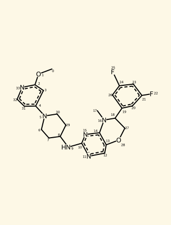 COc1cc(N2CCC(Nc3ncc4c(n3)N(C)C(c3cc(F)cc(F)c3)CO4)CC2)ccn1